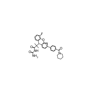 CC(C)(C(=O)NC(N)=O)C1c2ccc(-c3ccc(C(=O)N4CCCCC4)cc3)nc2Oc2c(F)cccc21